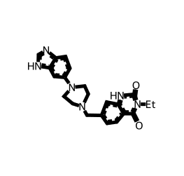 CCn1c(=O)[nH]c2cc(CN3CCN(c4ccc5nc[nH]c5c4)CC3)ccc2c1=O